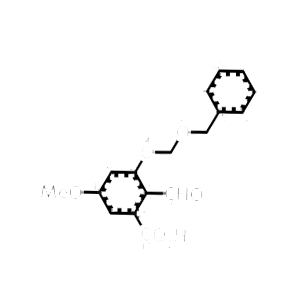 COc1cc(OCOCc2ccccc2)c(C=O)c(C(=O)O)c1